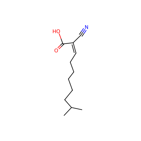 CC(C)CCCCCC=C(C#N)C(=O)O